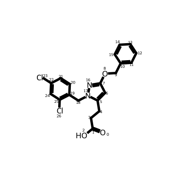 O=C(O)CCc1cc(OCc2ccccc2)nn1Cc1ccc(Cl)cc1Cl